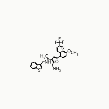 C=C(NCc1csc2ccccc12)c1cc(-c2ccc(OC)c3nc(C(F)(F)F)ccc23)oc1CN